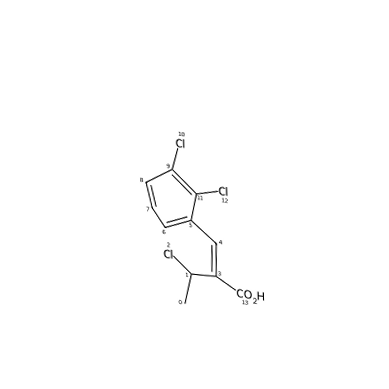 CC(Cl)C(=Cc1cccc(Cl)c1Cl)C(=O)O